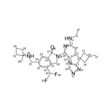 CCNc1cc(C2(c3nncn3C)CC(C)C2)cc(N2Cc3c(cc(CNC4(C)CCC4)cc3C(F)F)C2=O)n1